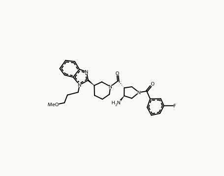 COCCCn1c([C@@H]2CCCN(C(=O)[C@@H]3CN(C(=O)c4cccc(F)c4)C[C@H]3N)C2)nc2ccccc21